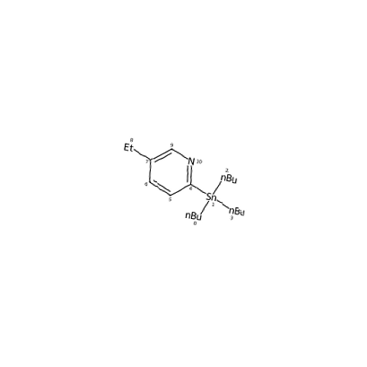 CCC[CH2][Sn]([CH2]CCC)([CH2]CCC)[c]1ccc(CC)cn1